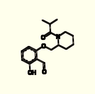 CC(C)C(=O)N1CCCCC1COc1cccc(O)c1C=O